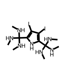 CNC(NC)(NC)c1[nH]c(C(NC)(NC)NC)c(I)c1I